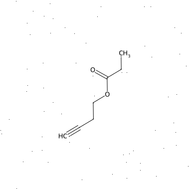 C#CCCOC(=O)CC